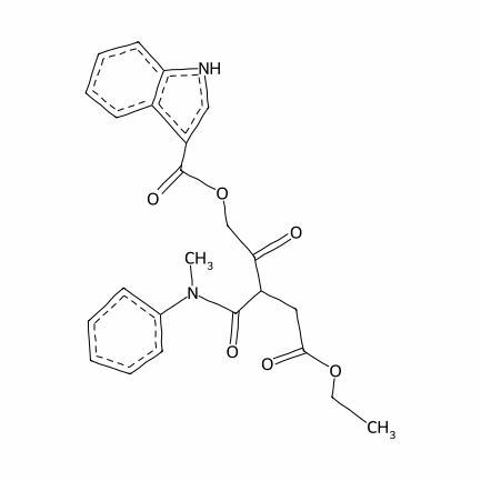 CCOC(=O)CC(C(=O)COC(=O)c1c[nH]c2ccccc12)C(=O)N(C)c1ccccc1